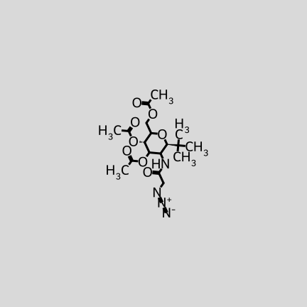 CC(=O)OCC1O[C@@H](C(C)(C)C)C(NC(=O)CN=[N+]=[N-])C(OC(C)=O)[C@@H]1OC(C)=O